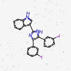 Ic1cccc(-c2nc(-c3c[nH]c4ccccc34)[nH]c2-c2cccc(I)c2)c1